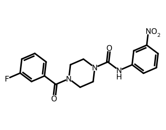 O=C(Nc1cccc([N+](=O)[O-])c1)N1CCN(C(=O)c2cccc(F)c2)CC1